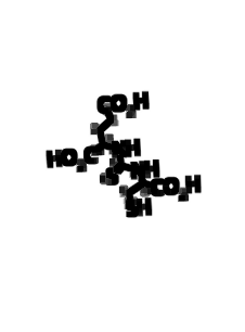 O=C(O)CCC(NC(=S)NC(CS)C(=O)O)C(=O)O